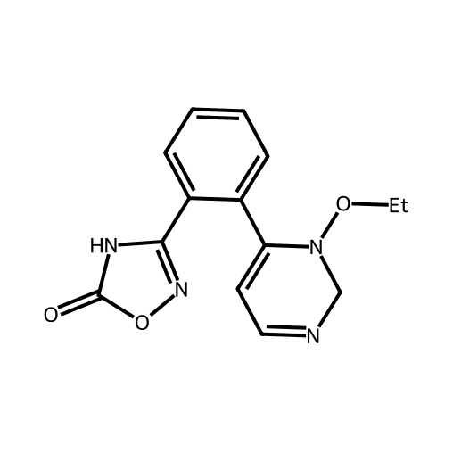 CCON1CN=CC=C1c1ccccc1-c1noc(=O)[nH]1